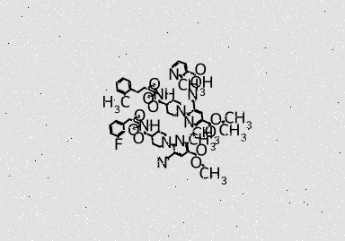 CCOC(=O)c1cc(C#N)c(N2CCC(C(=O)NS(=O)(=O)Cc3cccc(F)c3)CC2)nc1C.Cc1ccccc1CCS(=O)(=O)NC(=O)C1CCN(c2nc(C)c(C(=O)OC(C)C)cc2C#N)CC1.Cc1ncccc1C(=O)O